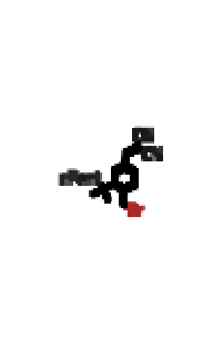 CCCCCC(C)(C)c1cc(C=C(C#N)C#N)ccc1CBr